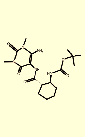 Cn1c(N)c(NC(=O)[C@H]2CCCC[C@@H]2NC(=O)OC(C)(C)C)c(=O)n(C)c1=O